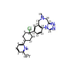 CC(C)c1cccc(C2CCC(Cl)(c3ccc4c(c3)CN(C)Cc3nncn3-4)CC2)n1